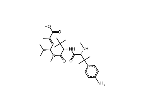 CN[C@@H](C(=O)N[C@H](C(=O)N(C)[C@H](/C=C(\C)C(=O)O)C(C)C)C(C)(C)C)C(C)(C)c1ccc(N)cc1